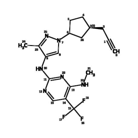 C#CC[C@@H]1CCC(n2cc(Nc3ncc(C(F)(F)F)c(NC)n3)c(C)n2)C1